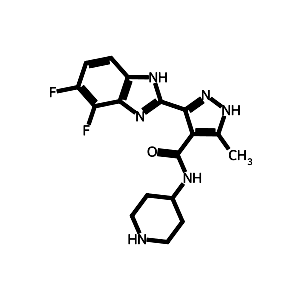 Cc1[nH]nc(-c2nc3c(F)c(F)ccc3[nH]2)c1C(=O)NC1CCNCC1